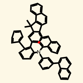 CC1(C)c2cc(-c3c(-c4ccccc4)cccc3N(c3cccc(-c4cccc5ccccc45)c3)c3cccc4ccccc34)ccc2-c2ccc3ccccc3c21